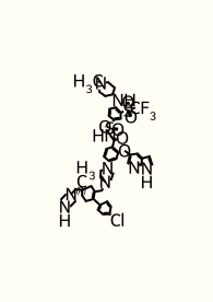 CN1CCC(Nc2ccc(S(=O)(=O)NC(=O)c3ccc(N4CCN(CC5=C(c6ccc(Cl)cc6)CC[C@@](C)(CN6CCNCC6)C5)CC4)cc3Oc3cnc4[nH]ccc4c3)cc2S(=O)(=O)C(F)(F)F)CC1